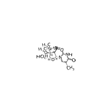 Cc1cn([C@@H]2O[C@H](CO)[C@](O)([Si](C)(C)C(C)(C)C)[C@H]2F)c(=O)[nH]c1=O